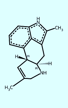 CC1=C[C@@H]2c3cccc4[nH]c(C)c(c34)C[C@H]2NC1